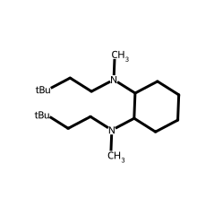 CN(CCC(C)(C)C)C1CCCCC1N(C)CCC(C)(C)C